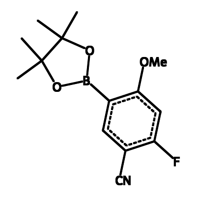 COc1cc(F)c(C#N)cc1B1OC(C)(C)C(C)(C)O1